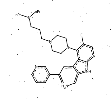 C=C(/C=c1\c(=C/N)[nH]c2ncc(F)c(N3CCN(CCCN(CCC)CCC)CC3)c12)c1cccnc1